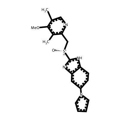 COc1c(C)cnc(C[S@@+]([O-])c2nc3cc(-n4cccc4)ccc3[nH]2)c1C